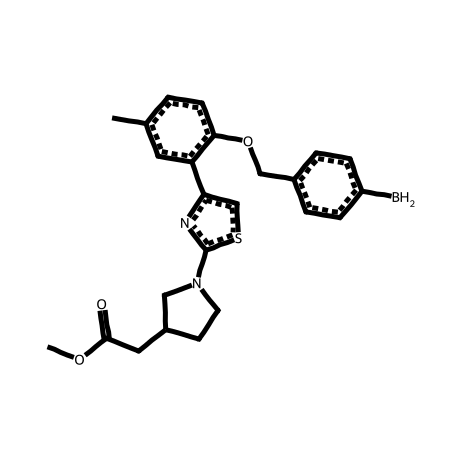 Bc1ccc(COc2ccc(C)cc2-c2csc(N3CCC(CC(=O)OC)C3)n2)cc1